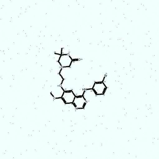 COc1cc2ncnc(Nc3cccc(Br)c3)c2cc1OCCN1CC(=O)OC(C)(C)C1